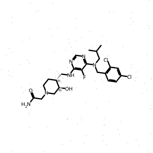 CC(C)CN(Cc1ccc(Cl)cc1Cl)c1ncnc(NC[C@H]2CCN(CC(N)=O)C[C@@H]2O)c1F